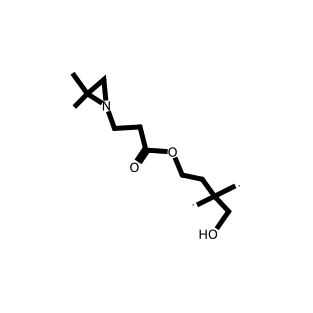 [CH2]C([CH2])(CO)CCOC(=O)CCN1CC1(C)C